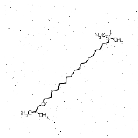 C=C(C)COCCCCCCCCCCCCCCCCCC[Si](C)(C)I